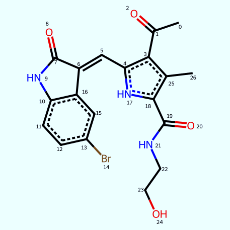 CC(=O)c1c(C=C2C(=O)Nc3ccc(Br)cc32)[nH]c(C(=O)NCCO)c1C